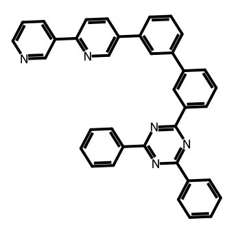 c1ccc(-c2nc(-c3ccccc3)nc(-c3cccc(-c4cccc(-c5ccc(-c6cccnc6)nc5)c4)c3)n2)cc1